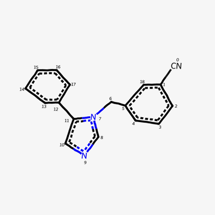 N#Cc1cccc(Cn2cncc2-c2ccccc2)c1